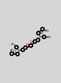 CC(C)c1ccc(N(c2ccc3cc4c(cc3c2)oc2c4ccc3c4cc5ccc(N(c6ccc(C(C)C)cc6)c6cccc7c6oc6c(C(C)C)cccc67)cc5cc4oc32)c2cccc3c2oc2c(C(C)C)cccc23)cc1